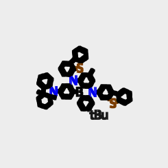 Cc1cc2c3c(c1)N(c1cccc4c1sc1ccccc14)c1cc(N4c5ccccc5C5(C)CCCCC45C)ccc1B3c1ccc(C(C)(C)C)cc1N2c1ccc2c(c1)sc1ccccc12